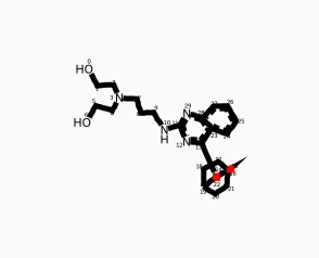 OCCN(CCO)CCCNc1nc(N2CC3CCC(CC3)C2)c2ccccc2n1